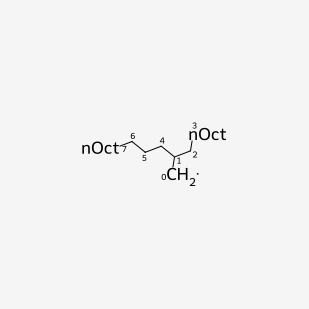 [CH2]C(CCCCCCCCC)CCCCCCCCCCC